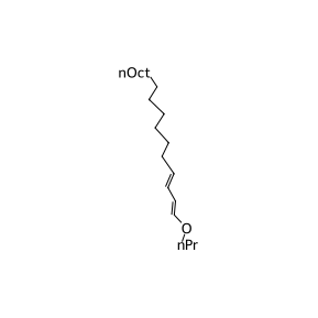 CCCCCCCCCCCCCCC=CC=COCCC